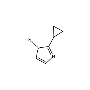 CC(C)n1ccnc1C1CC1